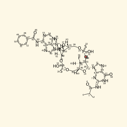 CC(C)C(=O)Nc1nc2c(ncn2[C@@H]2O[C@@H]3COP(O)(=S)O[C@@H]4[C@H](N=[N+]=[N-])[C@@H](COP(O)(=S)O[C@@H]2[C@@H]3F)O[C@H]4n2cnc3c(NC(=O)c4ccccc4)ncnc32)c(=O)[nH]1